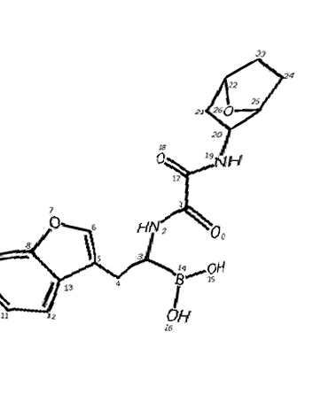 O=C(NC(Cc1coc2ccccc12)B(O)O)C(=O)NC1CC2CCC1O2